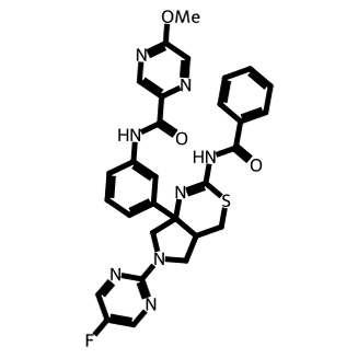 COc1cnc(C(=O)Nc2cccc(C34CN(c5ncc(F)cn5)CC3CSC(NC(=O)c3ccccc3)=N4)c2)cn1